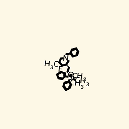 C[C@H]1CN(Cc2ccccc2)C[C@@H](CCO[Si](c2ccccc2)(c2ccccc2)C(C)(C)C)[C@@H]1F